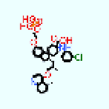 C[C@@H](COc1ccnc2c1[C@H](C)CCC2)C[C@H]1Cc2ccc(OCCOP(=O)(O)O)cc2C12CCC(Nc1cccc(Cl)c1)(C(=O)O)CC2